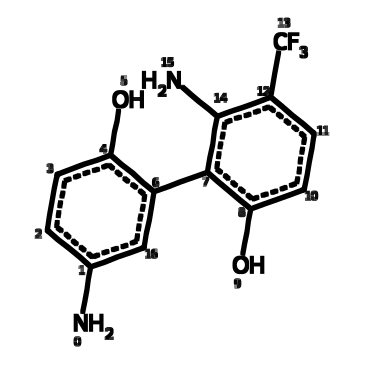 Nc1ccc(O)c(-c2c(O)ccc(C(F)(F)F)c2N)c1